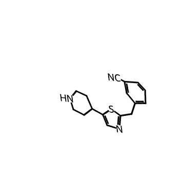 N#Cc1cccc(Cc2ncc(C3CCNCC3)s2)c1